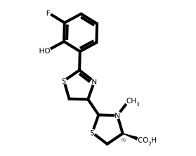 CN1C(C2CSC(c3cccc(F)c3O)=N2)SC[C@@H]1C(=O)O